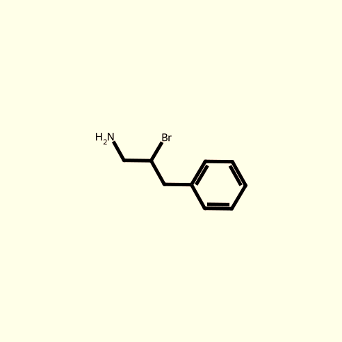 NCC(Br)Cc1ccccc1